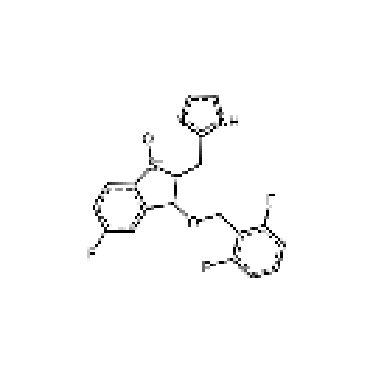 [O-][S+]1c2ccc(F)cc2C(OCc2c(F)cccc2F)C1Cc1ncc[nH]1